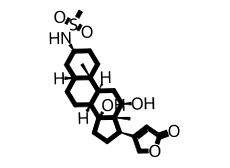 C[C@]12CC[C@H](NS(C)(=O)=O)C[C@H]1CC[C@@H]1[C@@H]2C[C@@H](O)[C@]2(C)[C@@H](C3=CC(=O)OC3)CC[C@]12O